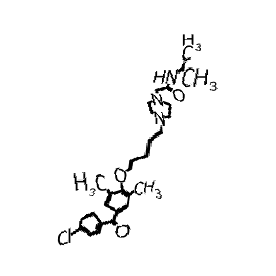 Cc1cc(C(=O)c2ccc(Cl)cc2)cc(C)c1OCCCCCN1CCN(CC(=O)NC(C)C)CC1